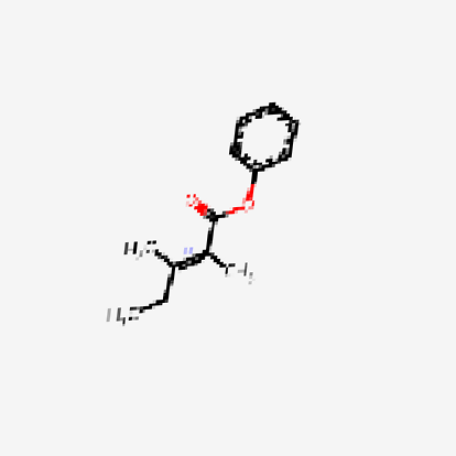 CC/C(C)=C(\C)C(=O)Oc1ccccc1